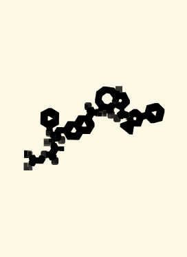 CCC(CC)COC(=O)[C@H](C)NP(=O)(Cc1ccc2ccc(C(=O)N[C@H]3CCCC[C@H]4CC[C@@H](C(=O)N5CC(c6ccccc6)CC56CC6)N4C3=O)cc2c1)Oc1ccccc1